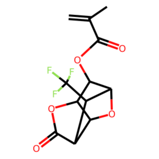 C=C(C)C(=O)OC1C2OC(=O)C3C2OC1C3C(F)(F)F